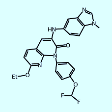 CCOc1ccc2cc(Nc3ccc4c(c3)ncn4C)c(=O)n(-c3ccc(OC(F)F)cc3)c2n1